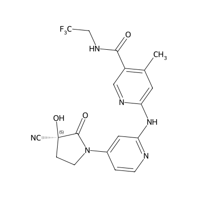 Cc1cc(Nc2cc(N3CC[C@](O)(C#N)C3=O)ccn2)ncc1C(=O)NCC(F)(F)F